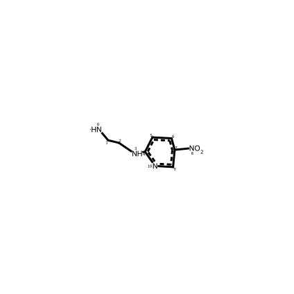 [NH]C[CH]Nc1ccc([N+](=O)[O-])cn1